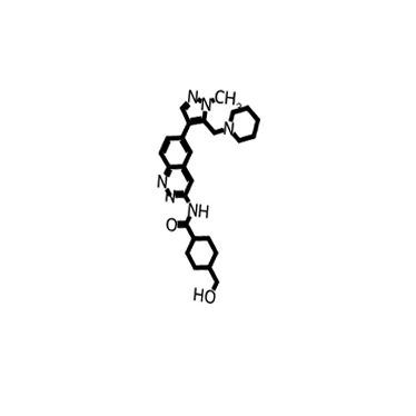 Cn1ncc(-c2ccc3nnc(NC(=O)C4CCC(CO)CC4)cc3c2)c1CN1CCCCC1